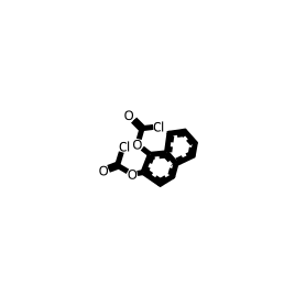 O=C(Cl)Oc1ccc2ccccc2c1OC(=O)Cl